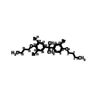 CCCCOc1ccc(C(C)(C)c2cc(Br)c(OCCCC)c(Br)c2)cc1Br